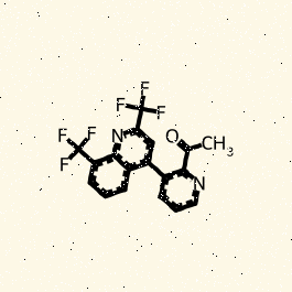 CC(=O)c1ncccc1-c1cc(C(F)(F)F)nc2c(C(F)(F)F)cccc12